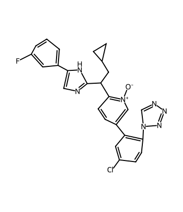 [O-][n+]1cc(-c2cc(Cl)ccc2-n2cnnn2)ccc1C(CC1CC1)c1ncc(-c2cccc(F)c2)[nH]1